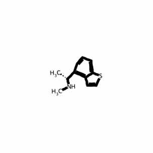 CN[C@H](C)c1cccc2sccc12